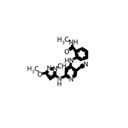 CNC(=O)c1ccccc1Nc1cc(Nc2cc(OC)nn2C)ncc1C#N